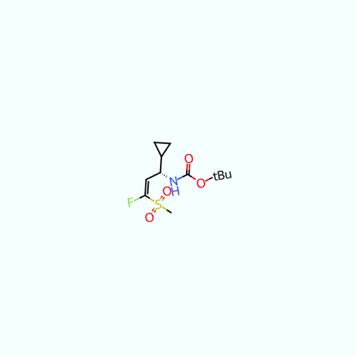 CC(C)(C)OC(=O)N[C@H](/C=C(/F)S(C)(=O)=O)C1CC1